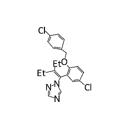 CCC(CC)=C(c1cc(Cl)ccc1OCc1ccc(Cl)cc1)n1cncn1